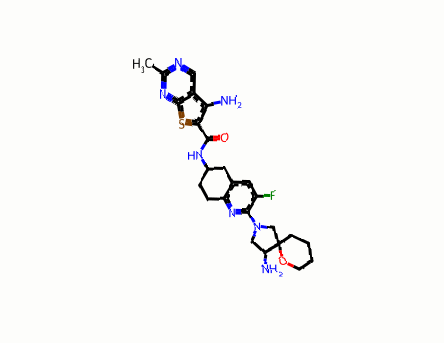 Cc1ncc2c(N)c(C(=O)NC3CCc4nc(N5CC(N)C6(CCCCO6)C5)c(F)cc4C3)sc2n1